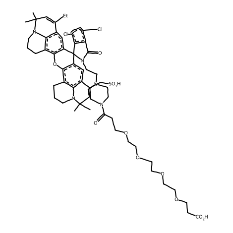 CCC1=CC(C)(C)N2CCCc3c4c(cc1c32)C1(c2cc3c5c(c2O4)CCCN5C(C)(C)C=C3CS(=O)(=O)O)c2c(Cl)ccc(Cl)c2C(=O)N1CCN1CCN(C(=O)CCOCCOCCOCCOCCC(=O)O)CC1